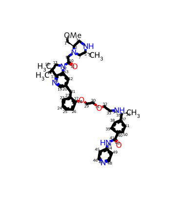 COC[C@H]1CN[C@H](C)CN1CC(=O)N1CC(C)(C)c2ncc(Cc3ccccc3OCCOCCN[C@H](C)c3ccc(C(=O)Nc4ccncc4)cc3)cc21